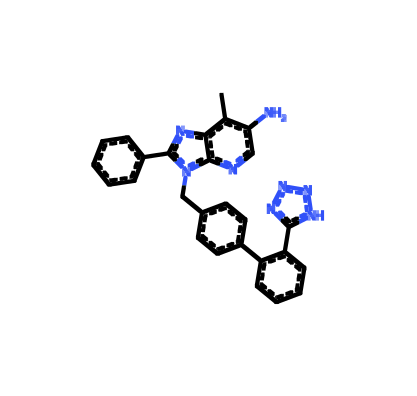 Cc1c(N)cnc2c1nc(-c1ccccc1)n2Cc1ccc(-c2ccccc2-c2nnn[nH]2)cc1